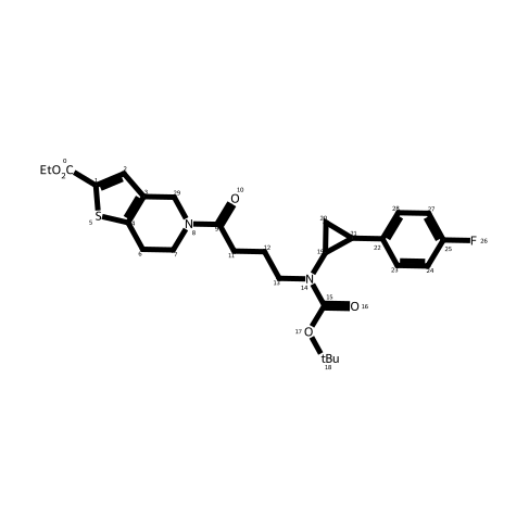 CCOC(=O)c1cc2c(s1)CCN(C(=O)CCCN(C(=O)OC(C)(C)C)C1CC1c1ccc(F)cc1)C2